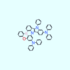 c1ccc(N(c2ccccc2)c2cc3c4c(c2)-n2c5c(cccc5c5c2c2ccc(N(c6ccccc6)c6ccccc6)cc2n5-c2ccccc2)B4c2ccccc2O3)cc1